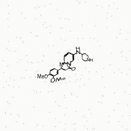 COc1ccc(-c2cc(=O)n3cc(NC4CCNCC4)ccc3n2)cc1OC